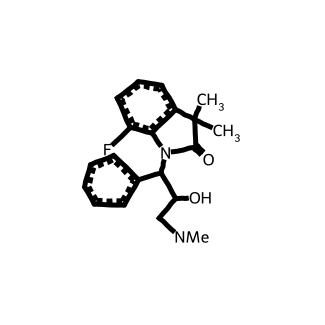 CNCC(O)C(c1ccccc1)N1C(=O)C(C)(C)c2cccc(F)c21